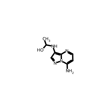 CC(O)Nc1cnn2c(N)ccnc12